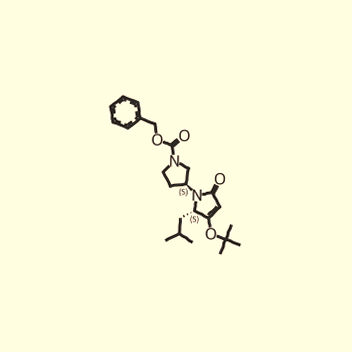 CC(C)C[C@H]1C(OC(C)(C)C)=CC(=O)N1[C@H]1CCN(C(=O)OCc2ccccc2)C1